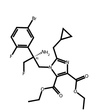 CCOC(=O)c1nc(CC2CC2)n(C[C@@](N)(CF)c2cc(Br)ccc2F)c1C(=O)OCC